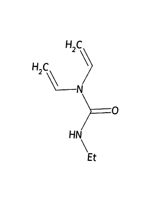 C=CN(C=C)C(=O)NCC